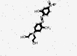 Cc1cc(N(CCO)CCO)ccc1N=Nc1ccc([N+](=O)[O-])cc1O